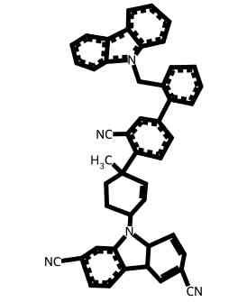 CC1(c2ccc(-c3ccccc3Cn3c4ccccc4c4ccccc43)cc2C#N)C=CC(N2c3cc(C#N)ccc3C3C=C(C#N)C=CC32)CC1